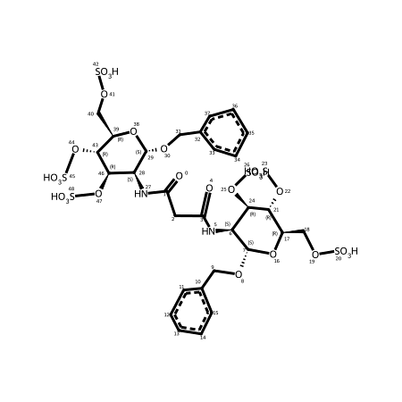 O=C(CC(=O)N[C@@H]1[C@@H](OCc2ccccc2)O[C@H](COS(=O)(=O)O)[C@@H](OS(=O)(=O)O)[C@@H]1OS(=O)(=O)O)N[C@@H]1[C@@H](OCc2ccccc2)O[C@H](COS(=O)(=O)O)[C@@H](OS(=O)(=O)O)[C@@H]1OS(=O)(=O)O